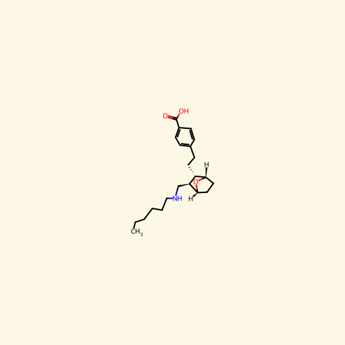 CCCCCCNC[C@H]1[C@H](CCc2ccc(C(=O)O)cc2)[C@@H]2CC[C@H]1O2